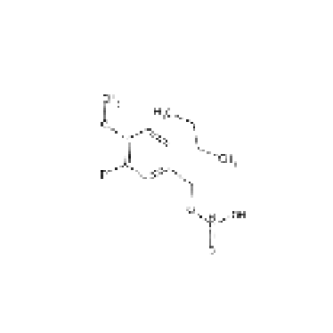 CCCC.COc1ccc(CO[PH](=O)O)cc1F